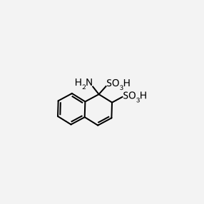 NC1(S(=O)(=O)O)c2ccccc2C=CC1S(=O)(=O)O